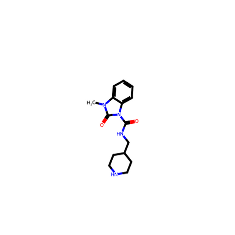 Cn1c(=O)n(C(=O)NCC2CCNCC2)c2ccccc21